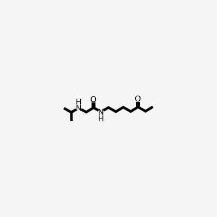 CCC(=O)CCCCNC(=O)CNC(C)C